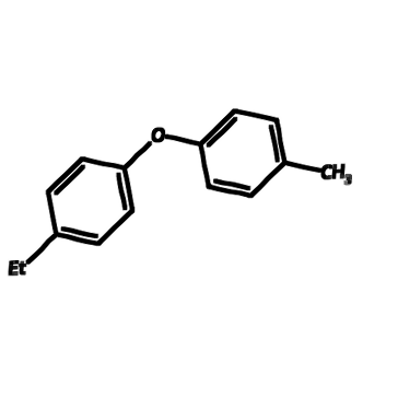 CCc1ccc(Oc2ccc(C)cc2)cc1